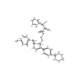 CN(C(=O)NCCCn1c(-c2ccc(N3CCOCC3)cc2)cs/c1=N\c1ccc(F)cn1)c1ccccc1